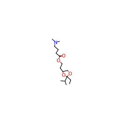 CCC1(C(C)C)OCC(CCOC(=O)CCCN(C)C)O1